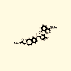 CNC(=O)CN1CCc2ccc(Nc3ncc(Cl)c(Nc4c(Cl)cccc4C(=O)NC)n3)cc2CC1